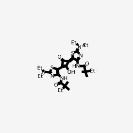 CCN(CC)c1nc(NC(=O)C(C)(C)CC)c(C2=C(O)/C(=C3/SC(=[N+](CC)CC)N=C3NC(=O)C(C)(C)CC)C2=O)s1